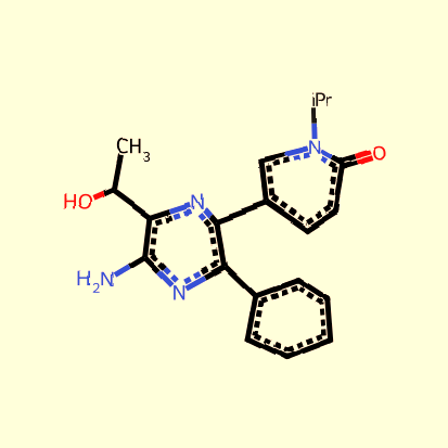 CC(O)c1nc(-c2ccc(=O)n(C(C)C)c2)c(-c2ccccc2)nc1N